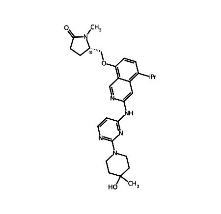 CC(C)c1ccc(OC[C@@H]2CCC(=O)N2C)c2cnc(Nc3ccnc(N4CCC(C)(O)CC4)n3)cc12